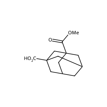 COC(=O)C12CC3CC(CC(C(=O)O)(C3)C1)C2